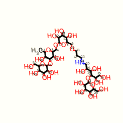 CC1OC(COC2OC(COCCCNCC(O)C(O)C(OC3OC(CO)C(O)C(O)C3O)C(O)CO)C(O)C(O)C2O)C(O)C(OC2OC(CO)C(O)C(O)C2O)C1O